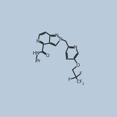 CC(C)NC(=O)c1nccc2nn(Cc3ccc(OCC(F)(F)C(F)(F)F)cn3)cc12